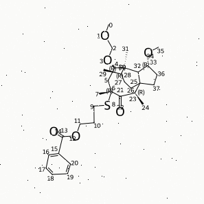 COCO[C@@H]1C[C@@](C)(SCCCOC(=O)c2ccccc2)C(=O)[C@H](C)C23CC[C@@H](C)[C@]1(C)C2[C@H](OC)CC3